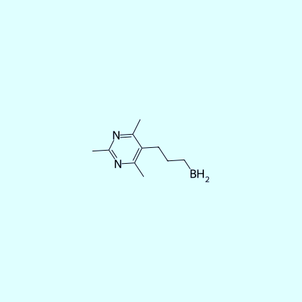 BCCCc1c(C)nc(C)nc1C